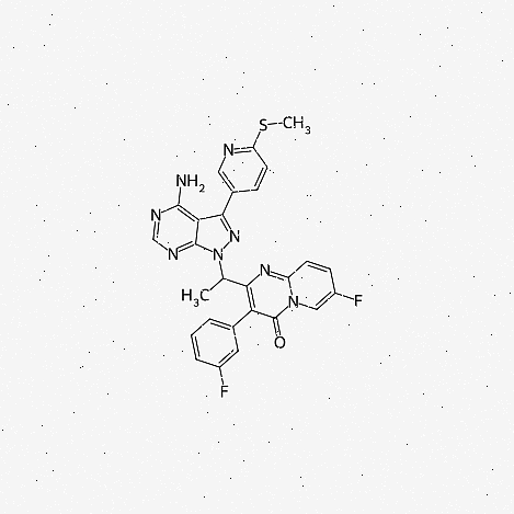 CSc1ccc(-c2nn(C(C)c3nc4ccc(F)cn4c(=O)c3-c3cccc(F)c3)c3ncnc(N)c23)cn1